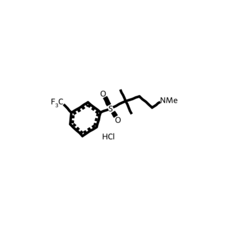 CNCCC(C)(C)S(=O)(=O)c1cccc(C(F)(F)F)c1.Cl